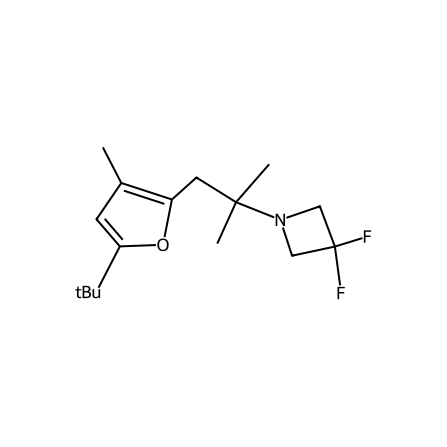 Cc1cc(C(C)(C)C)oc1CC(C)(C)N1CC(F)(F)C1